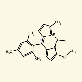 COc1ccc(/C(=C2/C=CC(C)=N2)c2c(C)cc(C)cc2C)n1B(F)F